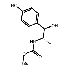 C[C@H](NC(=O)OC(C)(C)C)[C@H](O)c1ccc(C#N)cc1